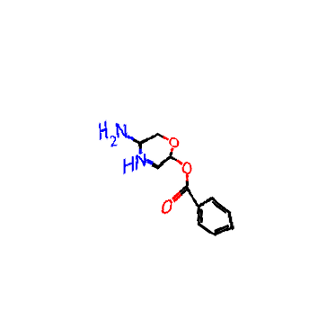 NC1COC(OC(=O)c2ccccc2)CN1